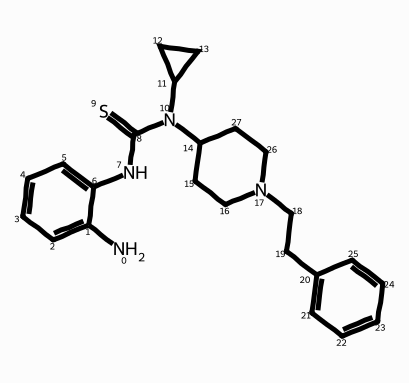 Nc1ccccc1NC(=S)N(C1CC1)C1CCN(CCc2ccccc2)CC1